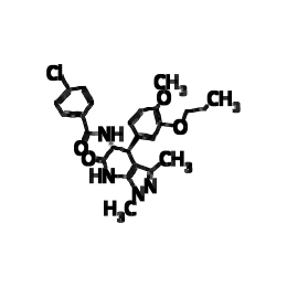 CCCOc1cc([C@H]2c3c(C)nn(C)c3NC(=O)[C@@H]2NC(=O)c2ccc(Cl)cc2)ccc1OC